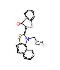 CCN1/C(=C2\Cc3ccccc3C2=O)Sc2ccc3ccccc3c21